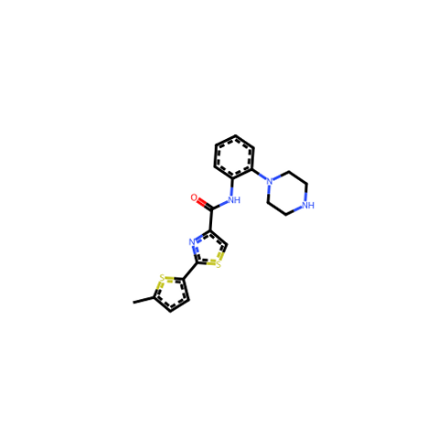 Cc1ccc(-c2nc(C(=O)Nc3ccccc3N3CCNCC3)cs2)s1